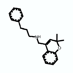 CC1(C)C=C(CNCCCc2ccccc2)c2ccccc2O1